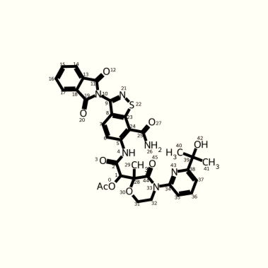 CC(=O)OC(C(=O)Nc1ccc2c(N3C(=O)c4ccccc4C3=O)nsc2c1C(N)=O)C1(C)OCCN(c2cccc(C(C)(C)O)n2)C1=O